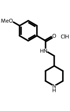 COc1ccc(C(=O)NCC2CCNCC2)cc1.Cl